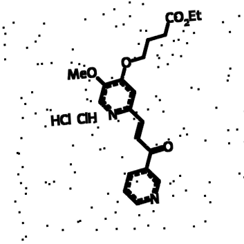 CCOC(=O)CCCOc1cc(/C=C/C(=O)c2cccnc2)ncc1OC.Cl.Cl